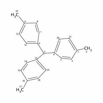 Cc1ccc([C](c2ccc(C)cc2)c2ccc(C)cc2)cc1